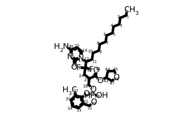 CCCCCCCCCCCCC(n1ccc(N)nc1=O)C(F)(F)CC(CO[PH]1(O)OCc2cccc(C)c2O1)C(=O)OC1CCOC1